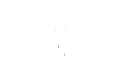 F.F.F.F.[H].[Si]